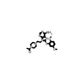 COc1ccc(OC)c(Sc2nc3c(N)ncnc3n2CCN2CCN(C(C)=O)CC2)c1